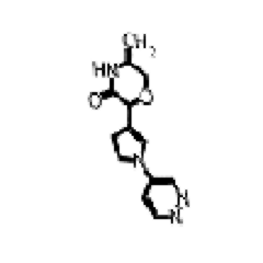 C=C1COC(C2=CN(c3ccnnc3)CC2)C(=O)N1